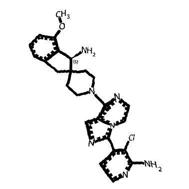 COc1cccc2c1[C@@H](N)C1(CCN(c3nccn4c(-c5ccnc(N)c5Cl)ncc34)CC1)C2